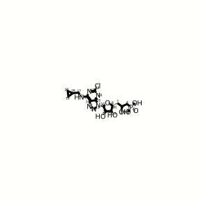 O=P(O)(O)CC(O)C[C@H]1O[C@@H](n2nnc3c(NCC4CC4)nc(Cl)nc32)[C@H](O)[C@@H]1O